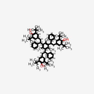 Cc1c(C(Cc2cc(C(C)(C)C)c(O)c(C(C)(C)C)c2)c2ccccc2)c(C)c(C(Cc2cc(C(C)(C)C)c(O)c(C(C)(C)C)c2)c2ccccc2)c(C)c1C(Cc1cc(C(C)(C)C)c(O)c(C(C)(C)C)c1)c1ccccc1